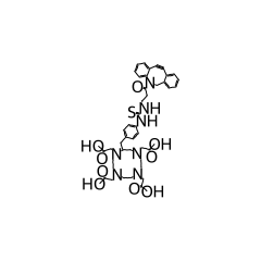 O=C(O)CN1CCN(CC(=O)O)CCN(CC(=O)O)C(Cc2ccc(NC(=S)NCCC(=O)N3Cc4ccccc4C#Cc4ccccc43)cc2)CN(CC(=O)O)CC1